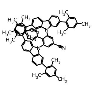 Cc1cc(C)c(-c2ccc3c4ccc(-c5c(C)cc(C)cc5C)cc4n(-c4cc(C#N)cc(-n5c6cc(-c7c(C)cc(C)cc7C)ccc6c6ccc(-c7c(C)cc(C)cc7C)cc65)c4-c4ccncc4)c3c2)c(C)c1